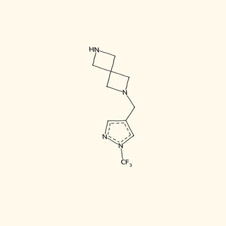 FC(F)(F)n1cc(CN2CC3(CNC3)C2)cn1